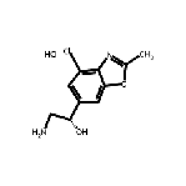 Cc1nc2c(Cl)cc([C@H](O)CN)cc2o1.Cl